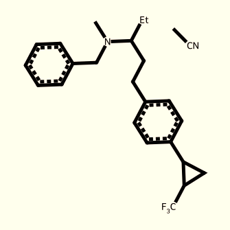 CC#N.CCC(CCc1ccc(C2CC2C(F)(F)F)cc1)N(C)Cc1ccccc1